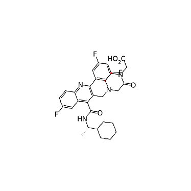 C[C@H](NC(=O)c1c(CN2CCN(CC(=O)O)C(=O)C2)c(-c2cc(F)cc(F)c2)nc2ccc(F)cc12)C1CCCCC1